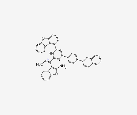 C/C=C(/C1=NC(c2ccc(-c3ccc4ccccc4c3)cc2)=NC(c2cccc3oc4ccccc4c23)N1)c1c(N)oc2ccccc12